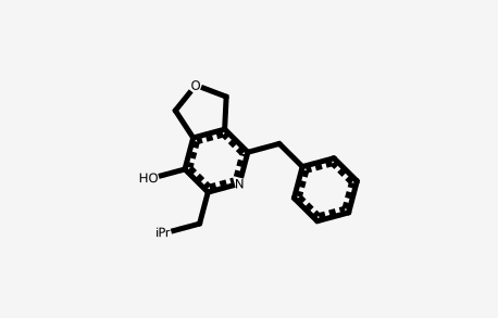 CC(C)Cc1nc(Cc2ccccc2)c2c(c1O)COC2